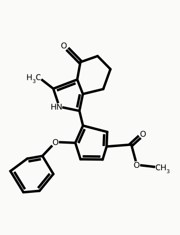 COC(=O)c1ccc(Oc2ccccc2)c(-c2[nH]c(C)c3c2CCCC3=O)c1